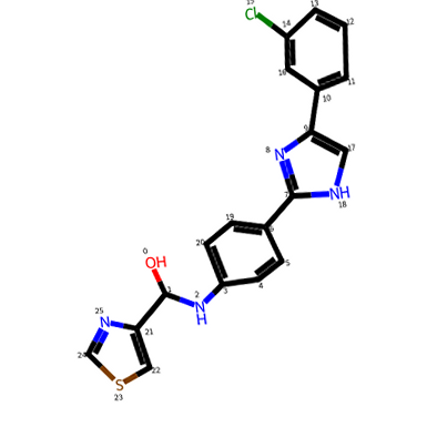 OC(Nc1ccc(-c2nc(-c3cccc(Cl)c3)c[nH]2)cc1)c1cscn1